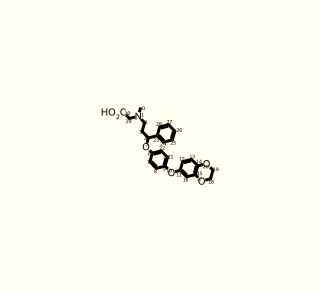 CN(CCC(Oc1ccc(Oc2ccc3c(c2)OCCO3)cc1)c1ccccc1)CC(=O)O